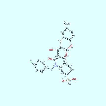 COc1cccc(Sc2c(O)c3c(=O)n(Cc4ccc(F)cc4)c4cc(S(C)(=O)=O)ccc4c3oc2=O)c1